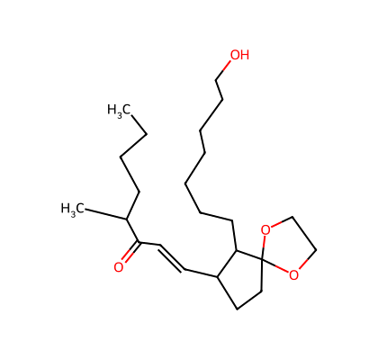 CCCCC(C)C(=O)C=CC1CCC2(OCCO2)C1CCCCCCCO